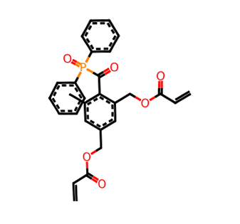 C=CC(=O)OCc1cc(C)c(C(=O)P(=O)(c2ccccc2)c2ccccc2)c(COC(=O)C=C)c1